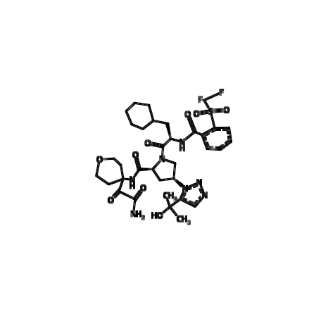 CC(C)(O)c1cnnn1[C@H]1C[C@@H](C(=O)NC2(C(=O)C(N)=O)CCOCC2)N(C(=O)[C@@H](CC2CCCCC2)NC(=O)c2ccccc2S(=O)(=O)C(F)F)C1